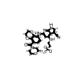 CS(=O)(=O)CCNc1cc(Nc2ccc(C(=O)N3CCOCC3)c3c2OCCO3)nc2[nH]cc(C#N)c12